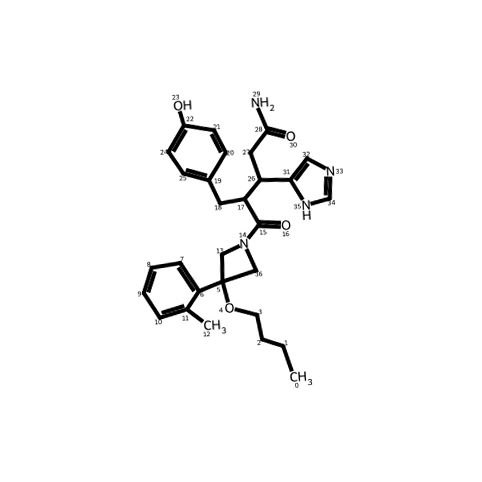 CCCCOC1(c2ccccc2C)CN(C(=O)C(Cc2ccc(O)cc2)C(CC(N)=O)c2cnc[nH]2)C1